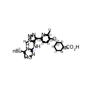 CCCCC(=O)N/C(=N\O)Nc1c(-c2ccc(O[C@H]3CCC[C@H](C(=O)O)C3)c(C)n2)nnn1C